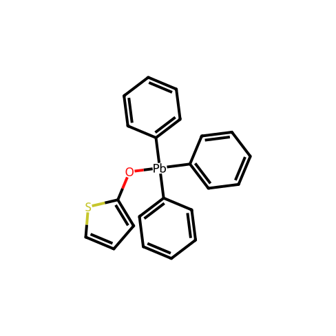 c1cc[c]([Pb]([O]c2cccs2)([c]2ccccc2)[c]2ccccc2)cc1